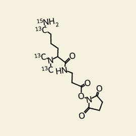 [13CH3]N([13CH3])C(CCC[13CH2][15NH2])C(=O)NCCC(=O)ON1C(=O)CCC1=O